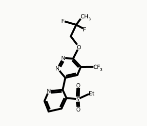 CCS(=O)(=O)c1cccnc1-c1cc(C(F)(F)F)c(OCC(C)(F)F)nn1